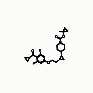 CC1(OC(=O)N2CCC([C@H]3C[C@H]3CCOc3cc(F)c(C(=O)C4CC4)c(F)c3)CC2)CC1